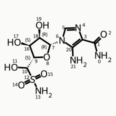 NC(=O)c1ncn([C@@H]2O[C@H](C(O)S(N)(=O)=O)[C@@H](O)[C@H]2O)c1N